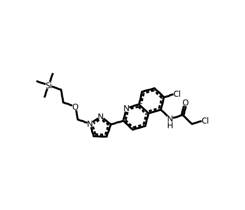 C[Si](C)(C)CCOCn1ccc(-c2ccc3c(NC(=O)CCl)c(Cl)ccc3n2)n1